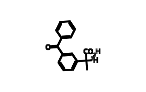 [2H]C(C)(C(=O)O)c1cccc(C(=O)c2ccccc2)c1